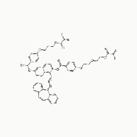 C=C(F)C(=O)OCCCOc1ccc(C(CC)Oc2ccc3c(/C=N/N=c4c5ccccc5ccc5ccccc45)c(OC(=O)c4ccc(OCCOCCOC(=O)C(=C)F)cc4)ccc3c2)cc1